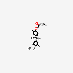 CCC(CC)(c1ccc(OCC(=O)C(C)(C)C)c(C)c1)c1ccc(C(=O)O)c(C)c1